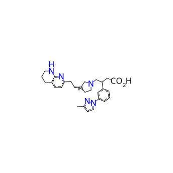 Cc1ccn(-c2cccc(C(CC(=O)O)CN3CC[C@@H](CCc4ccc5c(n4)NCCC5)C3)c2)n1